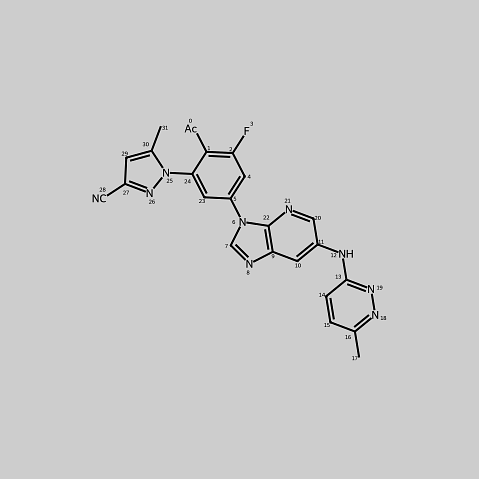 CC(=O)c1c(F)cc(-n2cnc3cc(Nc4ccc(C)nn4)cnc32)cc1-n1nc(C#N)cc1C